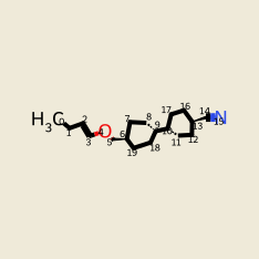 CCC=COC[C@H]1CC[C@H]([C@H]2CC[C@H](C#N)CC2)CC1